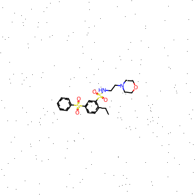 CCc1ccc(S(=O)(=O)c2ccccc2)cc1S(=O)(=O)NCCN1CCOCC1